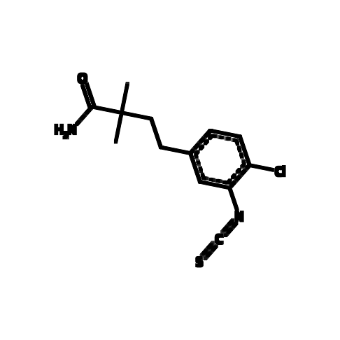 CC(C)(CCc1ccc(Cl)c(N=C=S)c1)C(N)=O